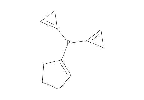 C1=C(P(C2=CC2)C2=CCCC2)C1